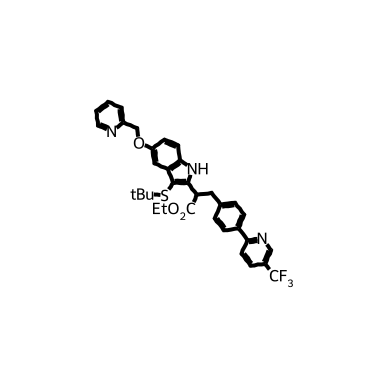 CCOC(=O)C(Cc1ccc(-c2ccc(C(F)(F)F)cn2)cc1)c1[nH]c2ccc(OCc3ccccn3)cc2c1SC(C)(C)C